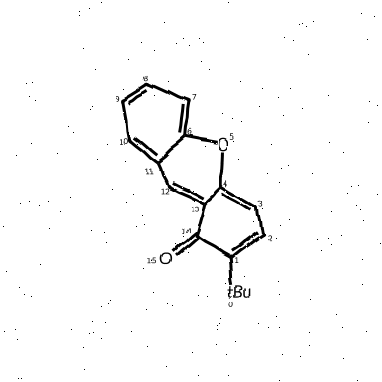 CC(C)(C)c1ccc2oc3ccccc3cc-2c1=O